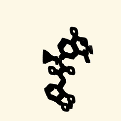 Cc1noc(=O)c2ccc(N(C(=O)C(=O)Cc3cccc4c3OCO4)C3CC3)cc12